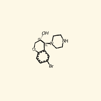 O[C@H]1COc2ccc(Br)cc2[C@@H]1N1CCNCC1